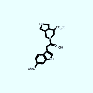 CCOC(=O)C1CN(C(=O)Cc2c[nH]c3cc(OC)ccc23)CC2CNCC21.Cl